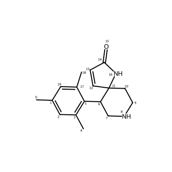 Cc1cc(C)c(C2CNCCC23C=CC(=O)N3)c(C)c1